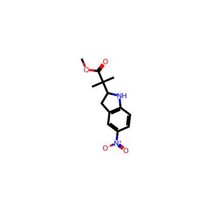 COC(=O)C(C)(C)C1Cc2cc([N+](=O)[O-])ccc2N1